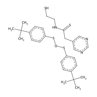 CC(C)(C)c1ccc(SOSc2ccc(C(C)(C)C)cc2)cc1.S=C(Cc1cncnc1)NCCS